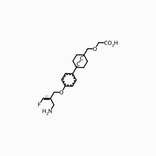 NC/C(=C\F)COc1ccc(C23CCC(COCC(=O)O)(CC2)CC3)cc1